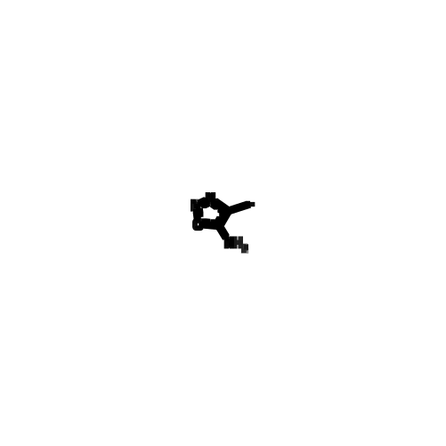 [CH2]c1nnoc1N